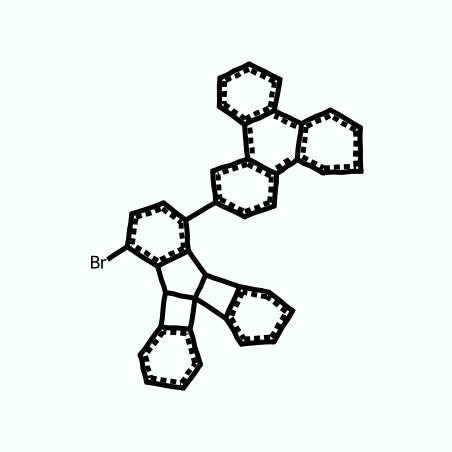 Brc1ccc(-c2ccc3c4ccccc4c4ccccc4c3c2)c2c1C1c3ccccc3C13c1ccccc1C23